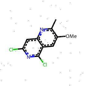 COc1cc2c(Cl)nc(Cl)cc2nc1C